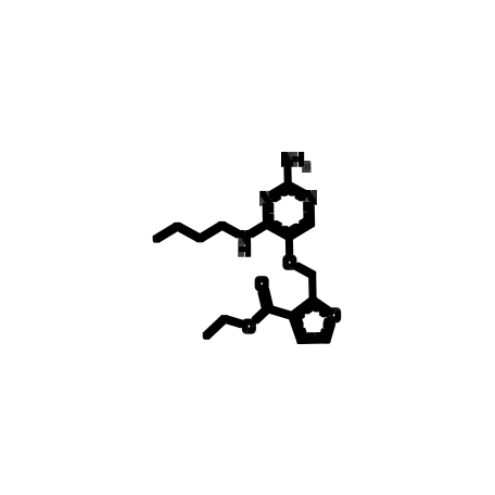 CCCCNc1nc(N)ncc1OCc1occc1C(=O)OCC